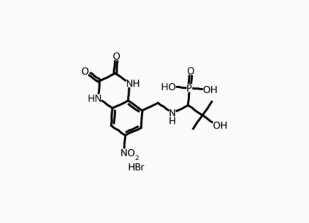 Br.CC(C)(O)C(NCc1cc([N+](=O)[O-])cc2[nH]c(=O)c(=O)[nH]c12)P(=O)(O)O